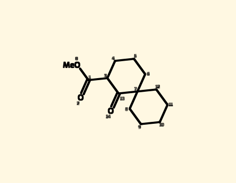 COC(=O)C1CCCC2(CCCCC2)C1=O